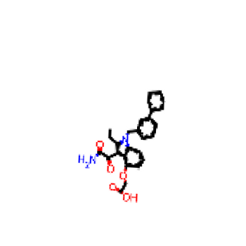 CCc1c(C(=O)C(N)=O)c2c(OCC(=O)O)cccc2n1Cc1cccc(-c2ccccc2)c1